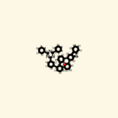 c1ccc(-c2nc(-c3ccccc3)nc(-c3cccc(-c4cccc5oc6c(-c7cc8c(cc7-c7ccccc7)sc7ccccc78)cccc6c45)c3)n2)cc1